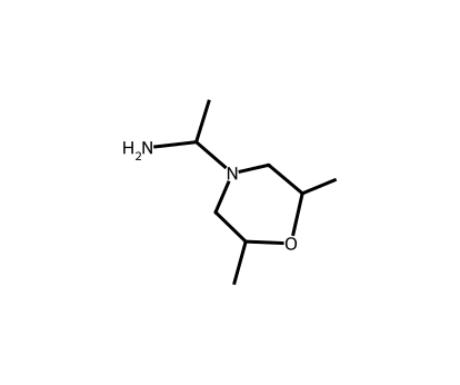 CC1CN(C(C)N)CC(C)O1